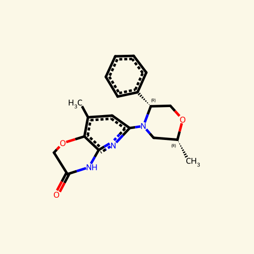 Cc1cc(N2C[C@@H](C)OC[C@H]2c2ccccc2)nc2c1OCC(=O)N2